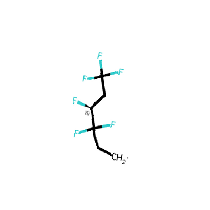 [CH2]CC(F)(F)[C@@H](F)CC(F)(F)F